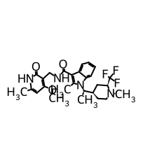 COc1cc(C)[nH]c(=O)c1CNC(=O)c1c(C)n([C@H](C)[C@@H]2CCN(C)[C@H](C(F)(F)F)C2)c2ccccc12